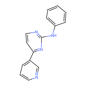 [c]1cccc(Nc2nccc(-c3cccnc3)n2)c1